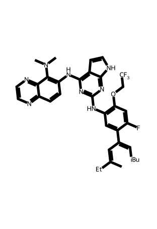 CC/C(C)=C/C(=C\C(C)CC)c1cc(Nc2nc(Nc3ccc4nccnc4c3N(C)C)c3cc[nH]c3n2)c(OCC(F)(F)F)cc1F